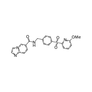 COc1cccc(S(=O)(=O)c2ccc(CNC(=O)c3ccc4nccn4c3)cc2)n1